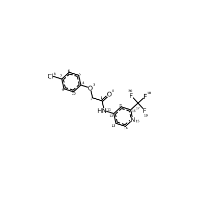 O=C(COc1ccc(Cl)cc1)Nc1ccnc(C(F)(F)F)c1